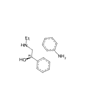 CCNC[C@H](O)c1ccccc1.Nc1ccccc1